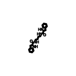 O=C(NCCCCNC(=O)c1cc2ccccc2[nH]1)c1cc2ccccc2[nH]1